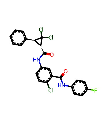 O=C(Nc1ccc(F)cc1)c1cc(NC(=O)[C@@H]2[C@@H](c3ccccc3)C2(Cl)Cl)ccc1Cl